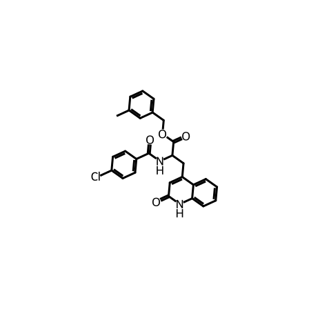 Cc1cccc(COC(=O)C(Cc2cc(=O)[nH]c3ccccc23)NC(=O)c2ccc(Cl)cc2)c1